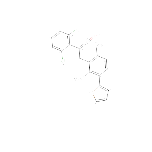 COc1ccc(-c2cccs2)c(OC)c1CC(=C=O)c1c(Cl)cccc1Cl